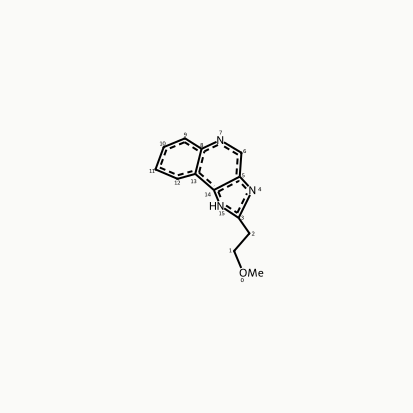 COCCc1nc2cnc3ccccc3c2[nH]1